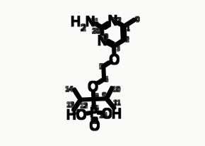 Cc1cc(OCCOC(C(C)C)(C(C)C)P(=O)(O)O)nc(N)n1